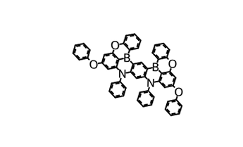 c1ccc(Oc2cc3c4c(c2)N(c2ccccc2)c2cc5c(cc2B4c2ccccc2O3)B2c3ccccc3Oc3cc(Oc4ccccc4)cc(c32)N5c2ccccc2)cc1